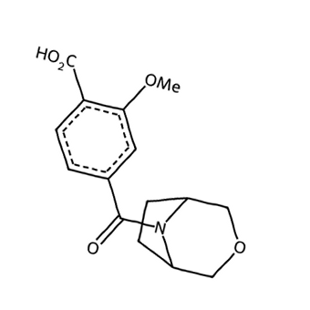 COc1cc(C(=O)N2C3CCC2COC3)ccc1C(=O)O